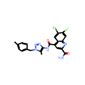 Cc1ccc(Cn2nnc(NC(=O)c3cc(C(N)=O)nc4cc(F)c(Cl)cc34)c2C)cc1